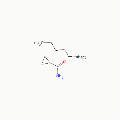 CCCCCCCCCCCC(=O)O.NC(=O)C1CC1